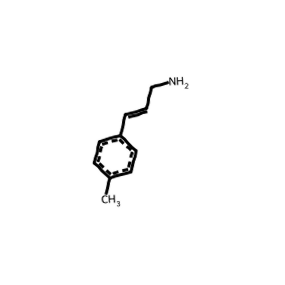 Cc1ccc(C=CCN)cc1